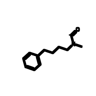 CN([C]=O)CCCCc1ccccc1